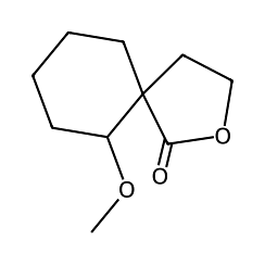 COC1CCCCC12CCOC2=O